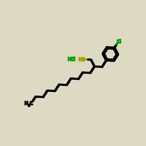 CCCCCCCCCCCC(CS)Cc1ccc(Cl)cc1.Cl